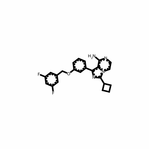 Nc1nccn2c(C3CCC3)nc(-c3cccc(OCc4cc(F)cc(F)c4)c3)c12